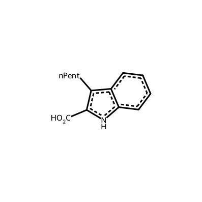 CCCCCc1c(C(=O)O)[nH]c2ccccc12